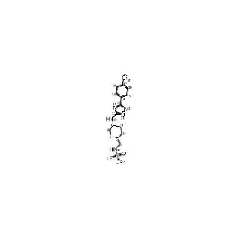 CC(C)S(=O)(=O)NC[C@H]1CC[C@H](Nc2nc(-c3ccc(C(F)(F)F)cc3)no2)CC1